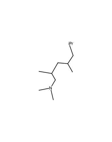 CC(C)CC(C)CC(C)CN(C)C